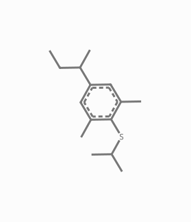 CCC(C)c1cc(C)c(SC(C)C)c(C)c1